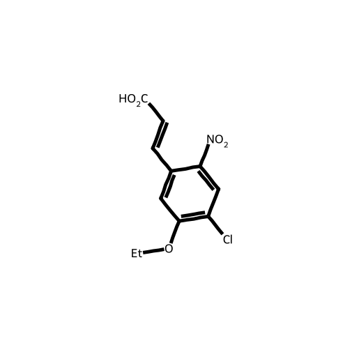 CCOc1cc(C=CC(=O)O)c([N+](=O)[O-])cc1Cl